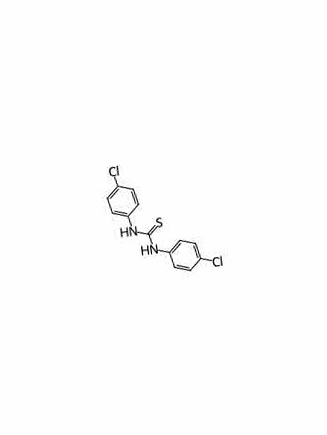 S=C(Nc1ccc(Cl)cc1)Nc1ccc(Cl)cc1